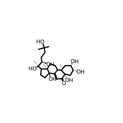 CC(C)(O)CC[C@@H](O)[C@](C)(O)C1CC[C@@]2(O)C3=CC(=O)[C@]4(O)C[C@@H](O)[C@@H](O)C[C@]4(C)C3CC[C@]12C